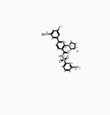 CC(C)COc1cc(F)cc(-c2ccc(C(=O)NS(=O)(=O)c3cccc(N)n3)c(N3CC[C@H](C)C3)n2)c1